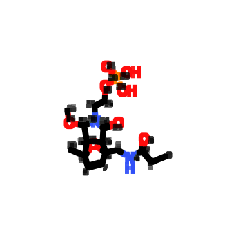 CCC(=O)NCC12C=CC(C)(O1)C1C(OC)N(CCOP(=O)(O)O)C(=O)C12